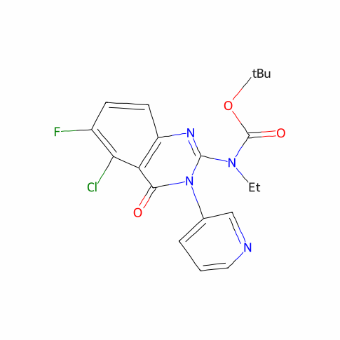 CCN(C(=O)OC(C)(C)C)c1nc2ccc(F)c(Cl)c2c(=O)n1-c1cccnc1